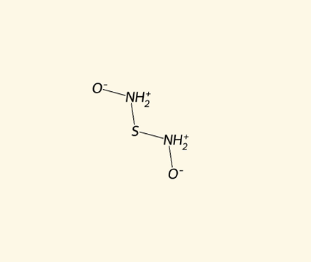 [O-][NH2+]S[NH2+][O-]